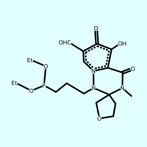 CCOP(CCCN1n2cc(C=O)c(=O)c(O)c2C(=O)N(C)C12CCOC2)OCC